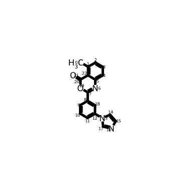 Cc1cccc2nc(-c3cccc(-n4ccnc4)c3)oc(=O)c12